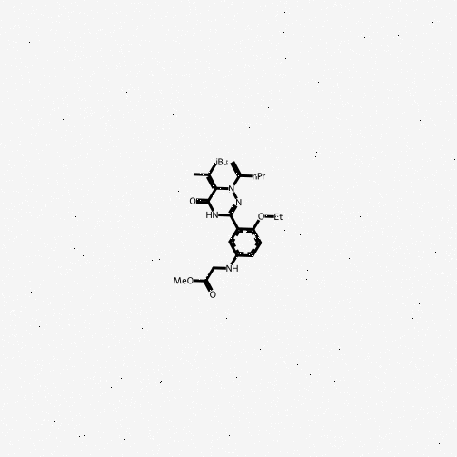 C=C(CCC)N1N=C(c2cc(NCC(=O)OC)ccc2OCC)NC(=O)/C1=C(\C)C(C)CC